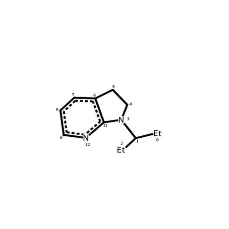 CCC(CC)N1CCc2cccnc21